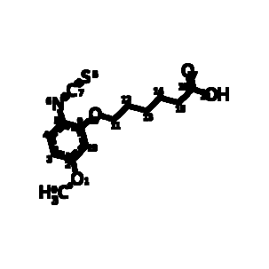 COc1ccc(N=C=S)c(OCCCCCC(=O)O)c1